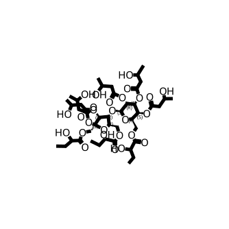 CCC(O)C(=O)OC[C@H]1O[C@@H](O[C@@H]2[C@@H](COC(=O)C(O)CC)O[C@@](COC(=O)C(O)CC)(OC(=O)CC(C)O)[C@H]2OC(=O)CC(C)O)[C@H](OC(=O)CC(C)O)[C@@H](OC(=O)CC(C)O)[C@H]1OC(=O)CC(C)O